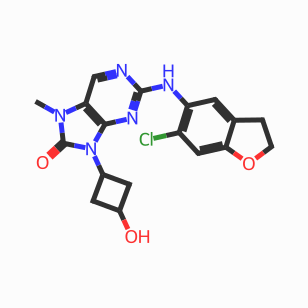 Cn1c(=O)n(C2CC(O)C2)c2nc(Nc3cc4c(cc3Cl)OCC4)ncc21